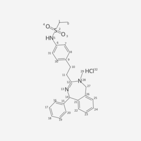 CCS(=O)(=O)Nc1ccc(CCC2=NC(c3ccccc3)c3ccccc3CN2C)cc1.Cl